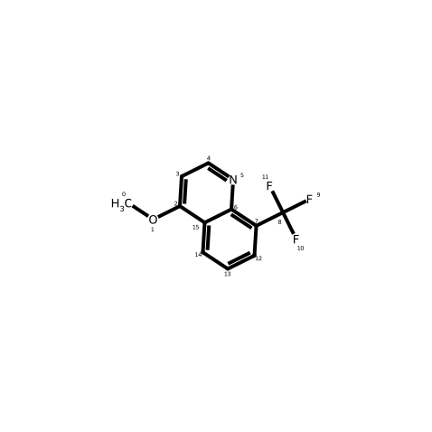 COc1ccnc2c(C(F)(F)F)cccc12